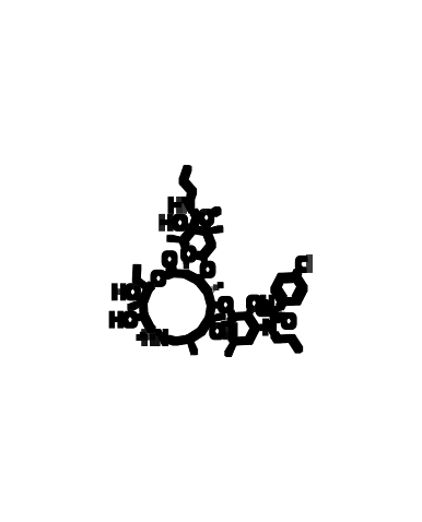 CCCNC[C@]1(O)[C@H](C)O[C@@H](O[C@H]2[C@H](C)[C@@H](O[C@@H]3O[C@H](C)C[C@H](N(CCC)S(=O)(=O)c4ccc(Cl)cc4)[C@H]3O)[C@](C)(O)C[C@@H](C)CN[C@H](C)[C@@H](O)[C@](C)(O)[C@@H](CC)OC(=O)[C@@H]2C)C[C@@]1(C)OC